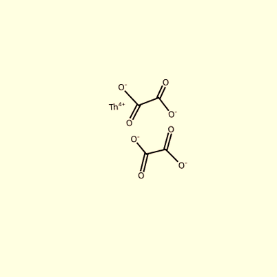 O=C([O-])C(=O)[O-].O=C([O-])C(=O)[O-].[Th+4]